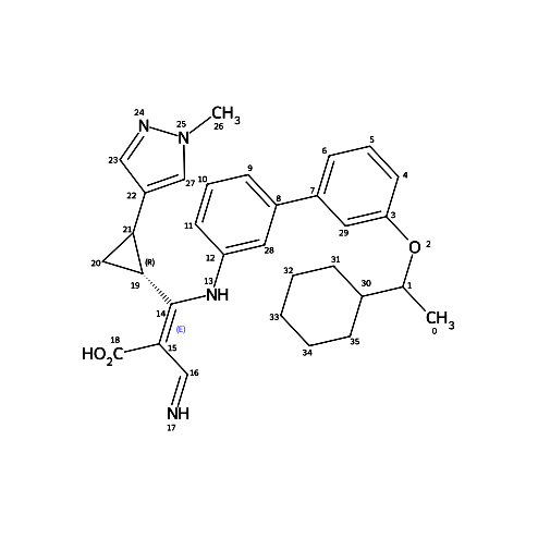 CC(Oc1cccc(-c2cccc(N/C(=C(\C=N)C(=O)O)[C@@H]3CC3c3cnn(C)c3)c2)c1)C1CCCCC1